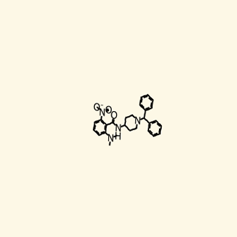 CN(C)c1cccc([N+](=O)[O-])c1C(=O)NC1CCN(C(c2ccccc2)c2ccccc2)CC1